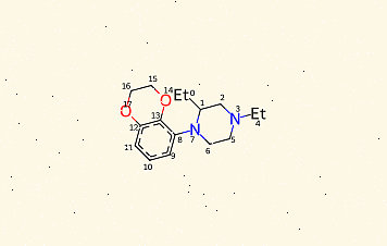 CCC1CN(CC)CCN1c1cccc2c1OCCO2